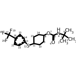 CC(C)(C)NC(=O)OC1CCC(Sc2ccc(C(F)(F)F)cc2)CC1